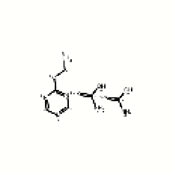 CCOc1ncncn1.NC(O)=S.NC(O)=S